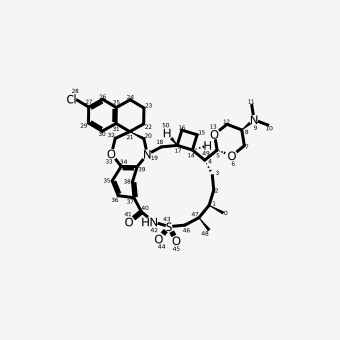 C[C@@H]1CC[C@@H]([C@H]2OC[C@H](N(C)C)CO2)[C@@H]2CC[C@H]2CN2C[C@@]3(CCCc4cc(Cl)ccc43)COc3ccc(cc32)C(=O)NS(=O)(=O)C[C@@H]1C